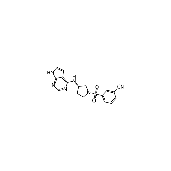 N#Cc1cccc(S(=O)(=O)N2CC[C@@H](Nc3ncnc4[nH]ccc34)C2)c1